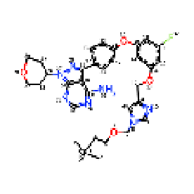 C[Si](C)(C)CCOCn1cnc(COc2cc(F)cc(Oc3ccc(-c4nn(C5CCOCC5)c5ncnc(N)c45)cc3)c2)c1